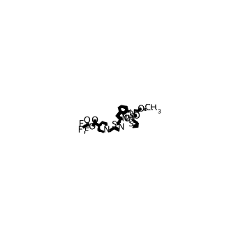 CCOCCN(c1cccc2cc(-c3ncc(CN4CCC(C(=O)OC(=O)C(F)(F)F)CC4)s3)[nH]c12)S(=O)(=O)c1cccs1